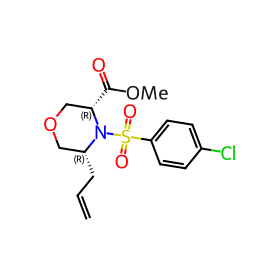 C=CC[C@@H]1COC[C@H](C(=O)OC)N1S(=O)(=O)c1ccc(Cl)cc1